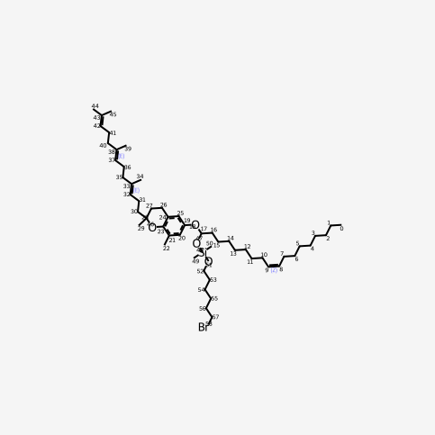 CCCCCCCC/C=C\CCCCCCCC(Oc1cc(C)c2c(c1)CCC(C)(CC/C=C(\C)CC/C=C(\C)CCC=C(C)C)O2)O[Si](C)(C)OCCCCCCBr